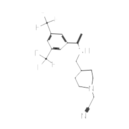 C=C(NCC1CCN(CC#N)CC1)c1cc(C(F)(F)F)cc(C(F)(F)F)c1